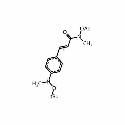 CC(=O)ON(C)C(=O)/C=C/c1ccc(N(C)OC(C)(C)C)cc1